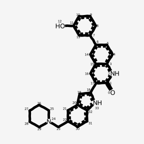 O=c1[nH]c2ccc(-c3cccc(O)c3)cc2cc1-c1cc2cc(CN3CCCCC3)ccc2[nH]1